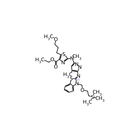 CCOC(=O)c1nc(N(C)c2cc(C)c(/N=c3\sc4ccccc4n3COCC[Si](C)(C)C)nn2)sc1CCCOC